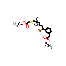 CCOC(=O)CSCC(C)(C)CCCC(Br)c1cccc(CC(=O)OCC)c1